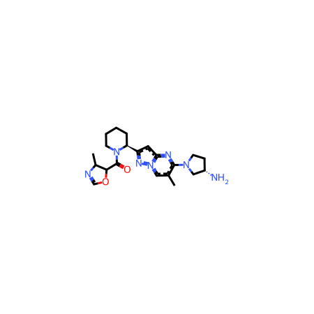 Cc1cn2nc([C@@H]3CCCCN3C(=O)C3OC=NC3C)cc2nc1N1CC[C@H](N)C1